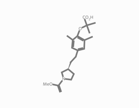 C=C(OC)N1CC[C@H](CCc2cc(C)c(OC(C)(C)C(=O)O)c(C)c2)C1